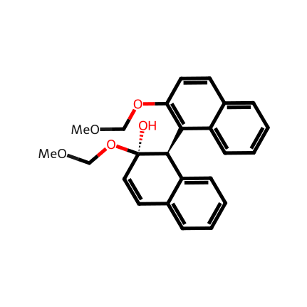 COCOc1ccc2ccccc2c1[C@H]1c2ccccc2C=C[C@@]1(O)OCOC